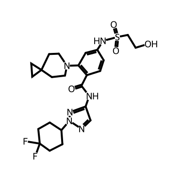 O=C(Nc1cnn(C2CCC(F)(F)CC2)n1)c1ccc(NS(=O)(=O)CCO)cc1N1CCC2(CC1)CC2